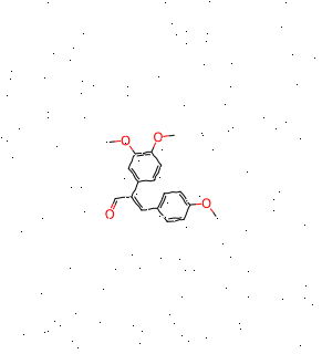 COc1ccc(/C=C(/C=O)c2ccc(OC)c(OC)c2)cc1